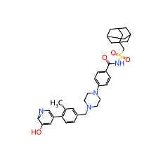 Cc1cc(CN2CCN(c3ccc(C(=O)NS(=O)(=O)CC45CC6CC(CC(C6)C4)C5)cc3)CC2)ccc1-c1cncc(O)c1